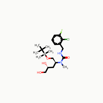 CN(C(=O)NCc1cccc(F)c1Cl)[C@H](CO[Si](C)(C)C(C)(C)C)C[C@@H](O)CO